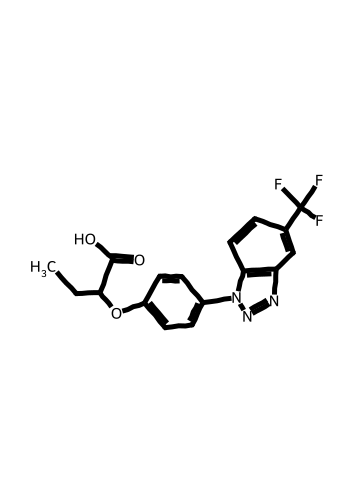 CCC(Oc1ccc(-n2nnc3cc(C(F)(F)F)ccc32)cc1)C(=O)O